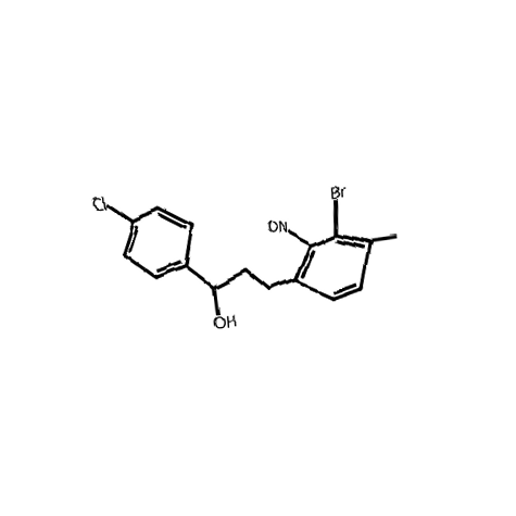 Cc1ccc(CCC(O)c2ccc(Cl)cc2)c(N=O)c1Br